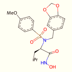 COc1ccc(S(=O)(=O)N(Cc2ccc3c(c2)OCO3)[C@H](CC(C)C)C(=O)NO)cc1